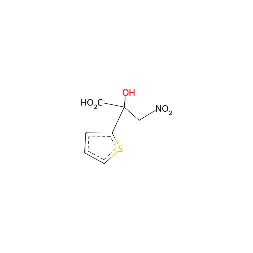 O=C(O)C(O)(C[N+](=O)[O-])c1cccs1